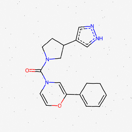 O=C(N1C=COC(C2=CC=CCC2)=C1)N1CCC(c2cn[nH]c2)C1